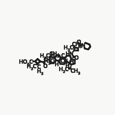 C=C(C)[C@@H]1CC[C@]2(C(=O)N[C@@H]3C[C@H](C(=O)N4CCCCC4)C3(C)C)CC[C@]3(C)[C@H](CC[C@@H]4[C@@]5(C)CC[C@H](OC(=O)C6CC(C(=O)O)C6(C)C)C(C)(C)[C@@H]5CC[C@]43C)[C@@H]12